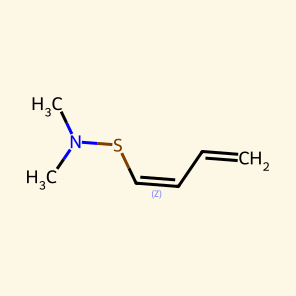 C=C/C=C\SN(C)C